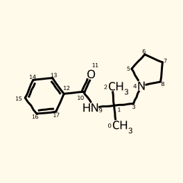 CC(C)(CN1CCCC1)NC(=O)c1ccccc1